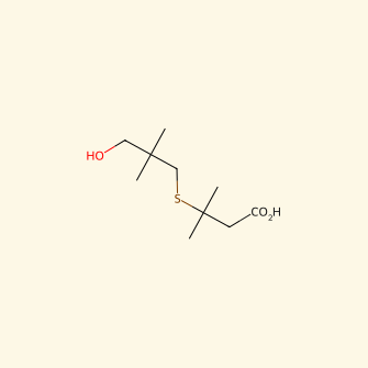 CC(C)(CO)CSC(C)(C)CC(=O)O